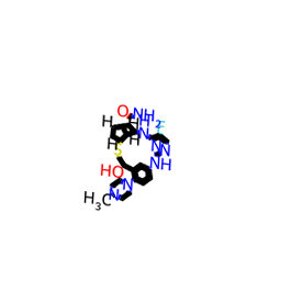 CN1CCN(c2ccc3cc2[C@H](O)CS[C@@H]2C[C@@H]4C[C@H]2[C@@H](Nc2nc(ncc2F)N3)[C@H]4C(N)=O)CC1